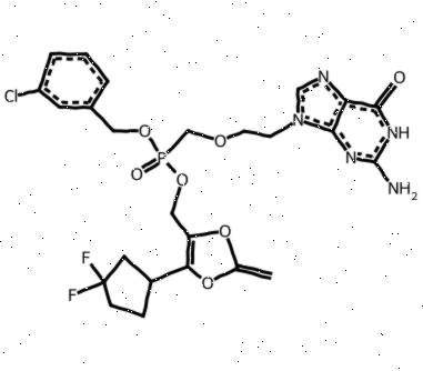 C=C1OC(COP(=O)(COCCn2cnc3c(=O)[nH]c(N)nc32)OCc2cccc(Cl)c2)=C(C2CCC(F)(F)C2)O1